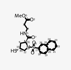 COC(=O)CCNC(=O)[C@@H]1C[C@@H](S)CN1S(=O)(=O)c1ccc2ccccc2c1